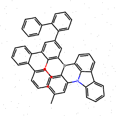 Cc1cc2c3c(c1)-n1c4ccccc4c4cccc(c41)B3c1cc(-c3ccccc3-c3ccccc3)cc(-c3ccccc3-c3ccccc3)c1O2